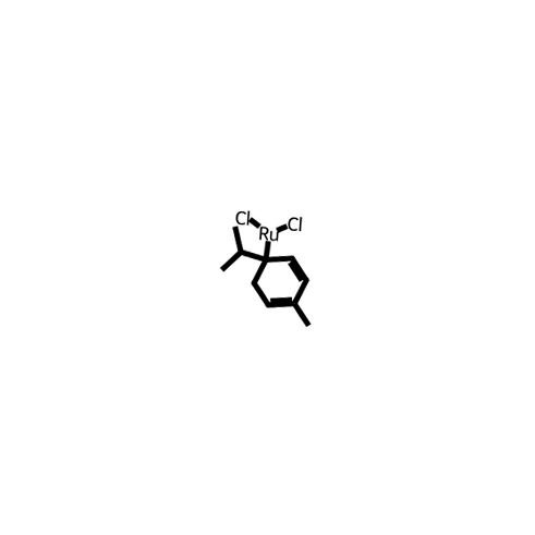 CC1=CC[C](C(C)C)([Ru]([Cl])[Cl])C=C1